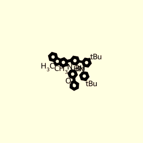 CC(C)(C)c1ccc(Nc2ccc(C(C)(C)C)cc2-c2ccc3c4cc5c(cc4n4c3c2Bc2cc3c(cc2-4)oc2ccccc23)C(C)(C)c2ccccc2-5)cc1